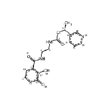 C[C@H](OC(=O)NCCNC(=O)c1cccc(=O)n1O)c1cccnc1